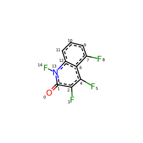 O=c1c(F)c(F)c2c(F)cccc2n1F